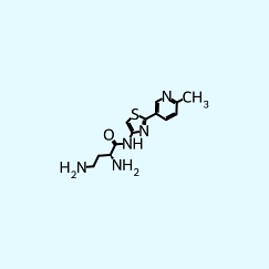 Cc1ccc(-c2nc(NC(=O)[C@@H](N)CCN)cs2)cn1